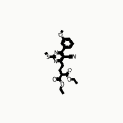 CCOC(=O)C(CCc1nc(SC)nc(-c2cccc(OC)c2)c1C#N)C(=O)OCC